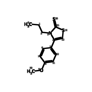 CCCn1c(-c2ccc(OC)cc2)csc1=S